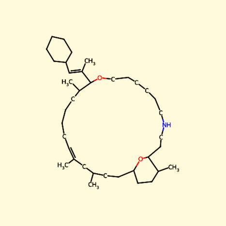 CC1=CCCCCC(C)C(C(C)=CC2CCCCC2)OCCCCCCNCCC2OC(CCC(C)C1)CCC2C